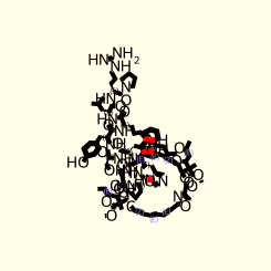 C/C=C/C(O)C(C)(C(=O)OC)C1C\C=C/C=C/C=C/c2nc(co2)C(=O)OC(C(C)(C(=O)OC)C(/C=C/C)OC(=O)CCC(=O)NCCCC[C@H](NC(=O)[C@H](Cc2ccc(O)cc2)NC(=O)[C@H](CO)NC(=O)[C@H](Cc2c[nH]c3ccccc23)NC(=O)[C@H](Cc2cnc[nH]2)NC(=O)[C@@H]2CCC(=O)N2)C(=O)N[C@@H](CC(C)C)C(=O)N[C@@H](CCCNC(=N)N)C(=O)N2CCCC2)C\C=C/C=C/C=C/c2nc(co2)C(=O)O1